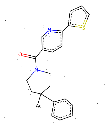 CC(=O)C1(c2ccccc2)CCN(C(=O)c2ccc(-c3cccs3)nc2)CC1